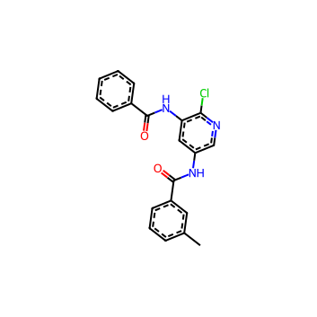 Cc1cccc(C(=O)Nc2cnc(Cl)c(NC(=O)c3ccccc3)c2)c1